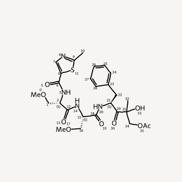 COC[C@H](NC(=O)c1cnc(C)s1)C(=O)N[C@@H](COC)C(=O)N[C@@H](Cc1ccccc1)C(=O)C(C)(O)COC(C)=O